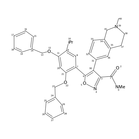 CNC(=O)c1noc(-c2cc(C(C)C)c(OCc3ccccc3)cc2OCc2ccccc2)c1-c1ccc2c(c1)CCN(C)C2